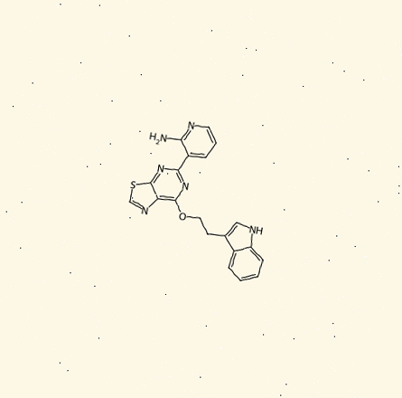 Nc1ncccc1-c1nc(OCCc2c[nH]c3ccccc23)c2ncsc2n1